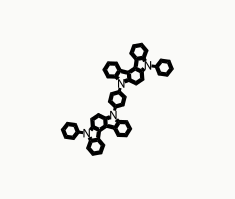 c1ccc(-n2c3ccccc3c3c4c5ccccc5n(-c5ccc(-n6c7ccccc7c7c8c9ccccc9n(-c9ccccc9)c8ccc76)cc5)c4ccc32)cc1